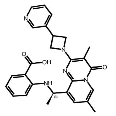 Cc1cc([C@@H](C)Nc2ccccc2C(=O)O)c2nc(N3CC(c4cccnc4)C3)c(C)c(=O)n2c1